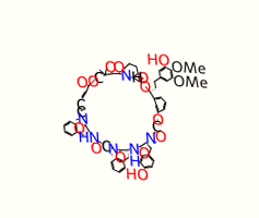 COc1cc(CC[C@H]2OC(=O)[C@@H]3CCCCN3C(=O)C(=O)C(C)(C)COC(=O)/C=C/CCN(C)C(=O)[C@@H](Cc3ccccc3)NC(=O)CN(C)C(=O)[C@@H](Cc3ccccc3)NC(=O)[C@H](Cc3ccc(O)cc3)N(C)C(=O)COc3cccc2c3)cc(O)c1OC